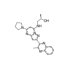 Cc1nc2ccccc2nc1-c1cc2nc(N3CCCC3)cc(NC[C@@H](C)O)n2n1